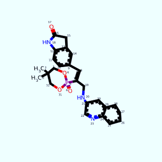 CC1(C)COP(=O)(C(=Cc2ccc3c(c2)CC(=O)N3)CNc2cnc3ccccc3c2)OC1